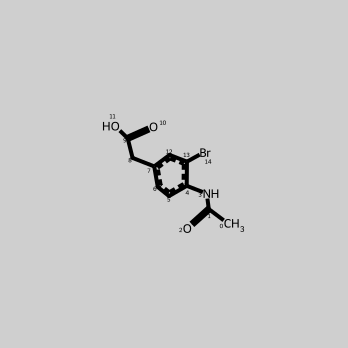 CC(=O)Nc1ccc(CC(=O)O)cc1Br